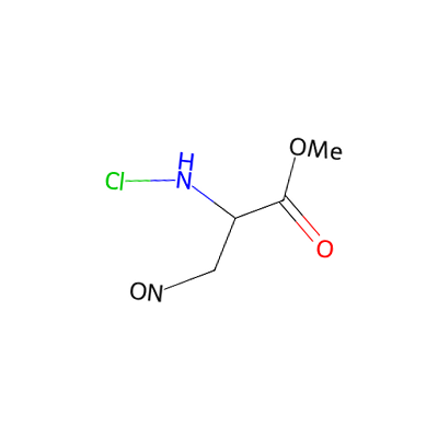 COC(=O)C(CN=O)NCl